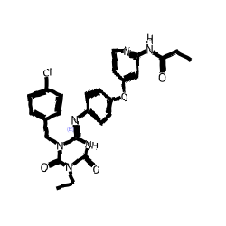 CCC(=O)Nc1cc(Oc2ccc(/N=c3\[nH]c(=O)n(CC)c(=O)n3Cc3ccc(Cl)cc3)cc2)ccn1